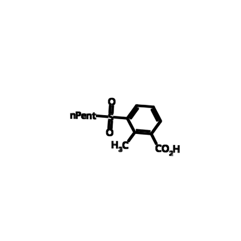 CCCCCS(=O)(=O)c1cccc(C(=O)O)c1C